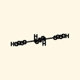 O=C(CCSSCCC(=O)NCCCCCCCCCCCOCCOCCOCCO)NCCCCCCCCCCCOCCOCCOCCO